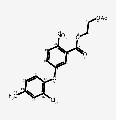 CC(=O)OCCOC(=O)c1cc(Oc2ccc(C(F)(F)F)cc2Cl)ccc1[N+](=O)[O-]